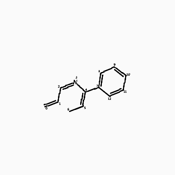 C=C/C=N\C(=C/C)c1ccccc1